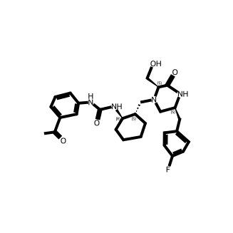 CC(=O)c1cccc(NC(=O)N[C@@H]2CCCC[C@H]2CN2C[C@H](Cc3ccc(F)cc3)NC(=O)[C@@H]2CO)c1